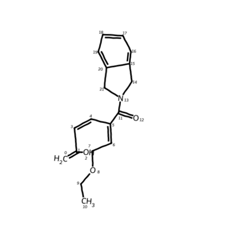 C=C(O)/C=C\C(=C/COCC)C(=O)N1Cc2ccccc2C1